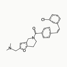 CN(C)Cc1cc2c(o1)CCN(C(=O)c1ccc(/C=C\c3cccc(Cl)c3)cc1)C2